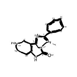 O=c1[nH]c2c(c3nc(-c4ccccc4)nn13)CNCC2